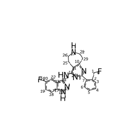 FCc1ccccc1-c1nc2c(c(Nc3n[nH]c4ccc(F)cc34)n1)CCNCC2